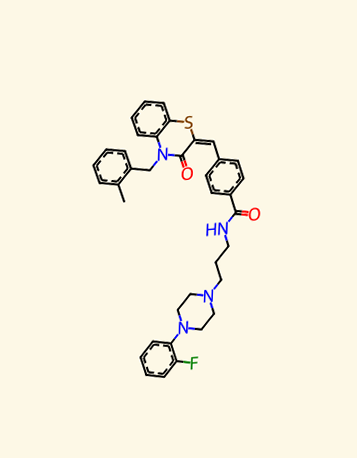 Cc1ccccc1CN1C(=O)/C(=C\c2ccc(C(=O)NCCCN3CCN(c4ccccc4F)CC3)cc2)Sc2ccccc21